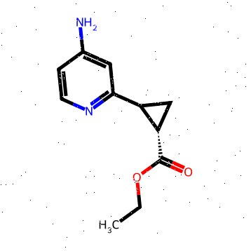 CCOC(=O)[C@H]1CC1c1cc(N)ccn1